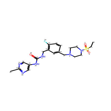 CCS(=O)(=O)N1CCN(Cc2ccc(F)c(CNC(=O)Nc3cnc(C)nc3)c2)CC1